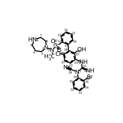 CN(N1CCCNCC1)S(=O)(=O)c1ccccc1-c1c(Cl)ccc(NC(=N)N(C#N)c2ccccc2Br)c1O